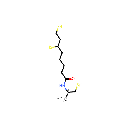 O=C(CCCCC(S)CCS)N[C@@H](CS)C(=O)O